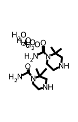 CC1(C)CNCCN1C(N)=O.CC1(C)CNCCN1C(N)=O.O.O.O.O